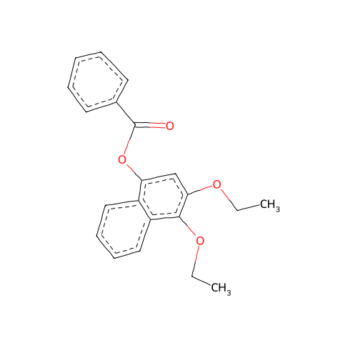 CCOc1cc(OC(=O)c2ccccc2)c2ccccc2c1OCC